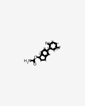 NC(=O)OC1CCc2cc(-c3cc(F)ccc3F)ccc21